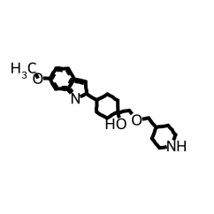 COc1ccc2c(c1)=NC(C1CCC(O)(COCC3CCNCC3)CC1)C=2